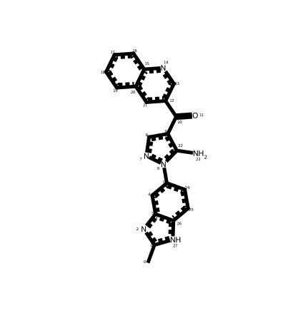 Cc1nc2cc(-n3ncc(C(=O)c4cnc5ccccc5c4)c3N)ccc2[nH]1